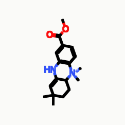 COC(=O)c1ccc2c(c1)NC1=CC(C)(C)CCC1[N+]2(C)C